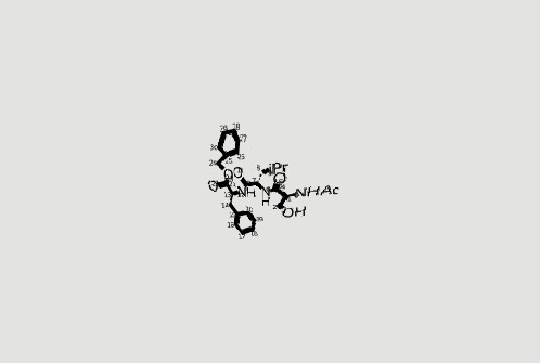 CC(=O)N[C@@H](CO)C(=O)N[C@@H](CC(C)C)C(=O)N[C@@H](Cc1ccccc1)C(=O)OCc1ccccc1